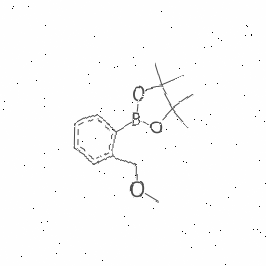 COCc1ccccc1B1OC(C)(C)C(C)(C)O1